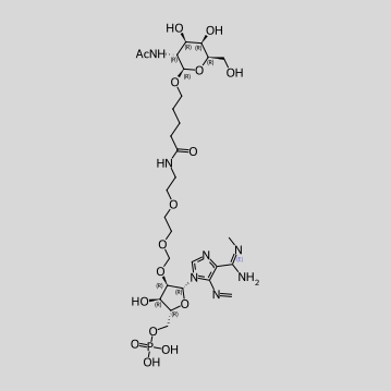 C=Nc1c(/C(N)=N\C)ncn1[C@@H]1O[C@H](COP(=O)(O)O)[C@@H](O)[C@H]1OCOCCOCCNC(=O)CCCCO[C@@H]1O[C@H](CO)[C@H](O)[C@H](O)[C@H]1NC(C)=O